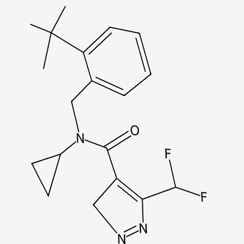 CC(C)(C)c1ccccc1CN(C(=O)C1=C(C(F)F)N=NC1)C1CC1